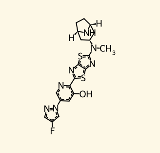 CN(c1nc2sc(-c3ncc(-n4cc(F)cn4)cc3O)nc2s1)[C@@H]1C[C@H]2CC[C@@H](C1)N2